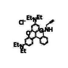 C#CCNC(=O)c1ccccc1-c1c2ccc(=[N+](CC)CC)cc-2oc2cc(N(CC)CC)ccc12.[Cl-]